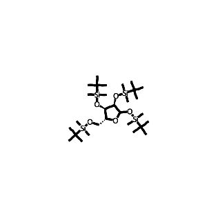 CC(C)(C)[Si](C)(C)OC[C@H]1OC(O[Si](C)(C)C(C)(C)C)[C@H](O[Si](C)(C)C(C)(C)C)[C@@H]1O[Si](C)(C)C(C)(C)C